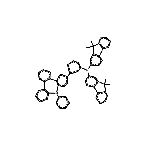 CC1(C)c2ccccc2-c2ccc(N(c3cccc(-c4ccc5c(c4)-c4ccccc4-c4ccccc4N5c4ccccc4)c3)c3ccc4c(c3)C(C)(C)c3ccccc3-4)cc21